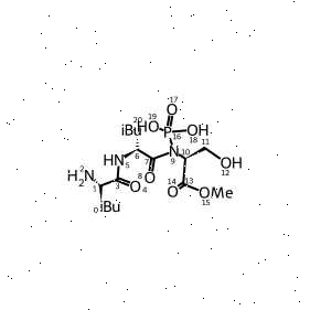 CC[C@H](C)[C@H](N)C(=O)N[C@H](C(=O)N([C@@H](CO)C(=O)OC)P(=O)(O)O)[C@@H](C)CC